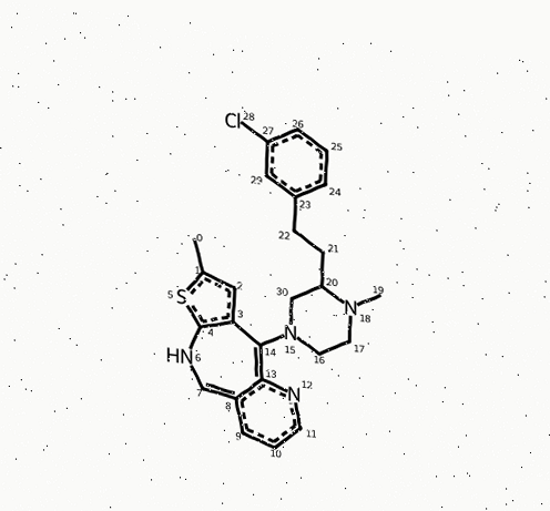 Cc1cc2c(s1)NC=c1cccnc1=C2N1CCN(C)C(CCc2cccc(Cl)c2)C1